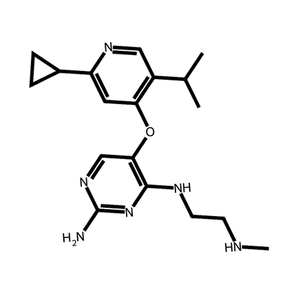 CNCCNc1nc(N)ncc1Oc1cc(C2CC2)ncc1C(C)C